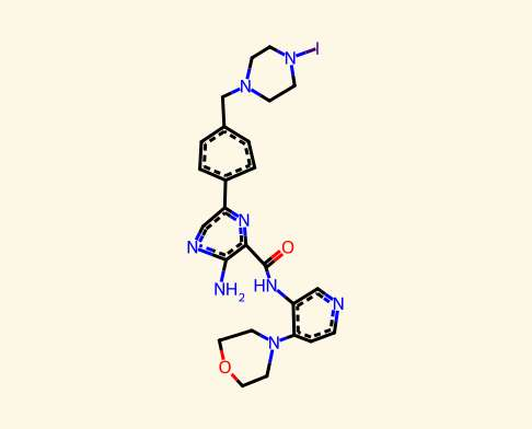 Nc1ncc(-c2ccc(CN3CCN(I)CC3)cc2)nc1C(=O)Nc1cnccc1N1CCOCC1